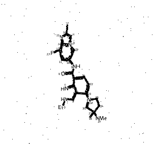 CCN/C=C1\C(=N)C(C(=O)Nc2cc(F)c3nc(C)cn3c2)=CC=C1N1CCC(C)(NC)C1